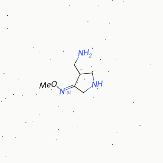 CO/N=C1/CNCC1CN